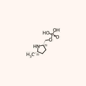 C[C@H]1CC[C@@H](COP(=O)(O)O)N1